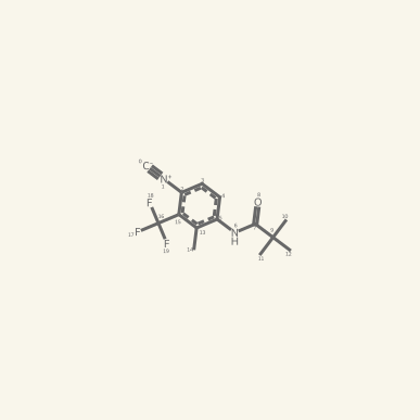 [C-]#[N+]c1ccc(NC(=O)C(C)(C)C)c(C)c1C(F)(F)F